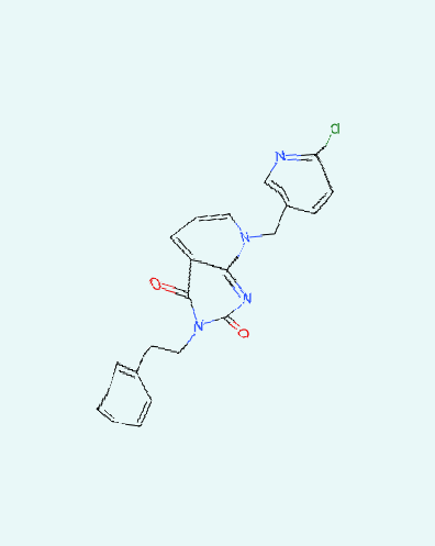 O=c1nc2n(Cc3ccc(Cl)nc3)cccc-2c(=O)n1CCc1ccccc1